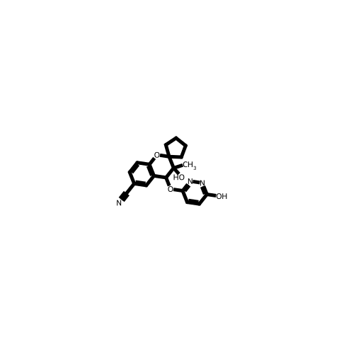 CC1(O)C(Oc2ccc(O)nn2)c2cc(C#N)ccc2OC12CCCC2